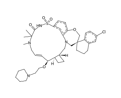 CN1C/C=C/[C@H](OCCN2CCCCC2)[C@@H]2CC[C@H]2CN2C[C@@]3(CCCc4cc(Cl)ccc43)COc3ccc(cc32)S(=O)(=O)NC(=O)C1(C)C